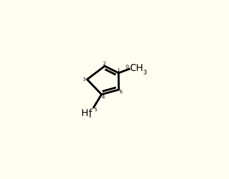 CC1=CC[C]([Hf])=C1